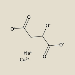 O=C([O-])CC([O-])C(=O)[O-].[Cu+2].[Na+]